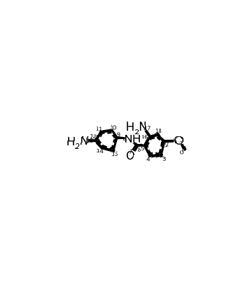 COc1ccc(C(=O)Nc2ccc(N)cc2)c(N)c1